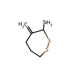 C=C1CCCSSC1[SiH3]